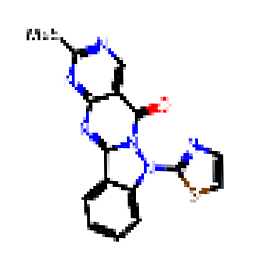 CSc1ncc2c(=O)n3c(nc2n1)c1ccccc1n3-c1nccs1